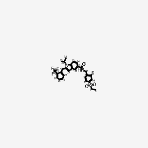 CCS(=O)(=O)c1ccc(CNC(=O)c2ccc3c(c2)cc(Cc2ccccc2C(F)(F)F)n3C(C)C)c(F)c1